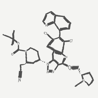 CN1CCC[C@H]1COc1nc2c(Cl)c(-c3cccc4cccnc34)c(Cl)cc2c2c1nnn2[C@H]1CCN(C(=O)OC(C)(C)C)[C@H](CC#N)C1